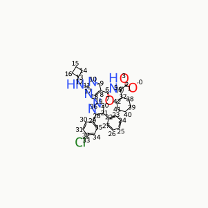 COC(=O)[C@@H](NC(=O)c1cnc(NC2CCC2)nc1N1CC(c2ccccc2)C(c2ccc(Cl)cc2)=N1)C1CCCCC1